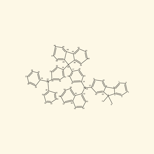 CC1(C)c2ccccc2-c2ccc(N(c3ccc(C4(c5ccc(N(c6ccccc6)c6ccccc6)cc5)c5ccccc5-c5ccccc54)cc3)c3cccc4ccccc34)cc21